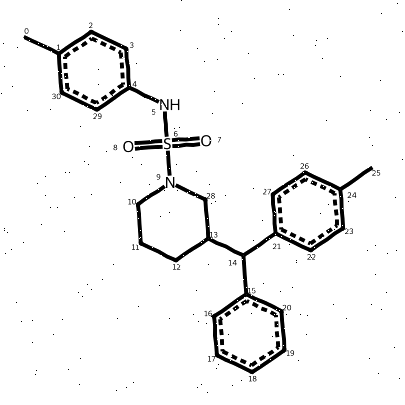 Cc1ccc(NS(=O)(=O)N2CCCC(C(c3ccccc3)c3ccc(C)cc3)C2)cc1